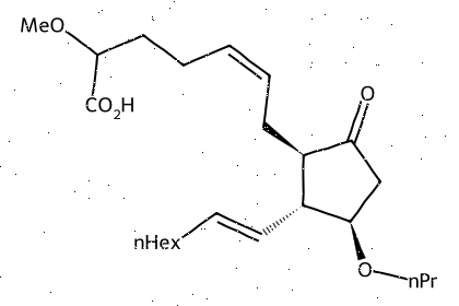 CCCCCC/C=C/[C@H]1[C@H](OCCC)CC(=O)[C@@H]1C/C=C\CCC(OC)C(=O)O